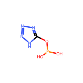 OP(O)Oc1nnn[nH]1